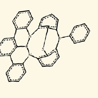 c1ccc(N2c3cccc4c3Sc3c(cccc32)N2B3c5c(cccc5-c5ccccc52)-c2ccccc2N34)cc1